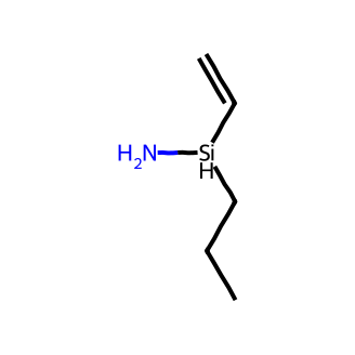 C=C[SiH](N)CCC